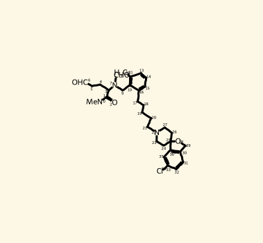 CNC(=O)C(CCC=O)N(C=O)Cc1c(C)cccc1CCCCCN1CCC2(CC1)OCc1ccc(Cl)cc12